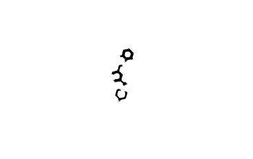 Cc1cccc(C)c1SCc1cncc(C(=O)N2CCC(C)CC2)c1